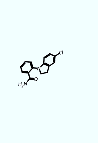 NC(=O)c1ccccc1N1CCc2cc(Cl)ccc21